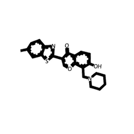 Cc1ccc2nc(-c3coc4c(CN5CCCCC5)c(O)ccc4c3=O)sc2c1